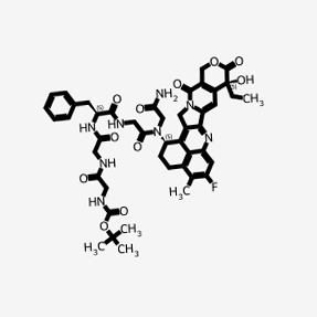 CC[C@@]1(O)C(=O)OCc2c1cc1n(c2=O)Cc2c-1nc1cc(F)c(C)c3c1c2[C@@H](N(CC(N)=O)C(=O)CNC(=O)[C@H](Cc1ccccc1)NC(=O)CNC(=O)CNC(=O)OC(C)(C)C)CC3